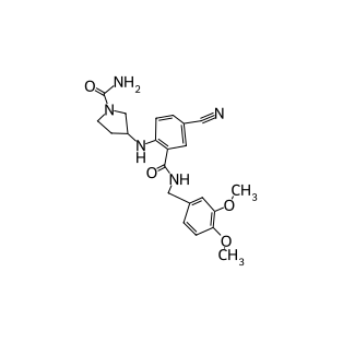 COc1ccc(CNC(=O)c2cc(C#N)ccc2NC2CCN(C(N)=O)C2)cc1OC